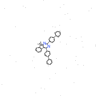 C[Si]1(C)c2ccccc2-c2c(-c3ccc(-c4ccccc4)cc3)nc(-c3ccc(-c4ccccc4)cc3)nc21